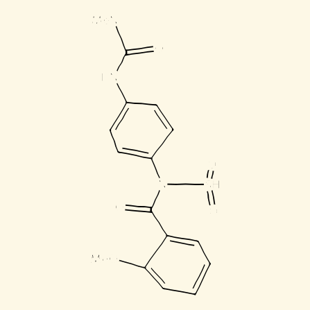 CNC(=O)Nc1ccc(N(C(=O)c2ccccc2OC)[SH](=O)=O)cc1